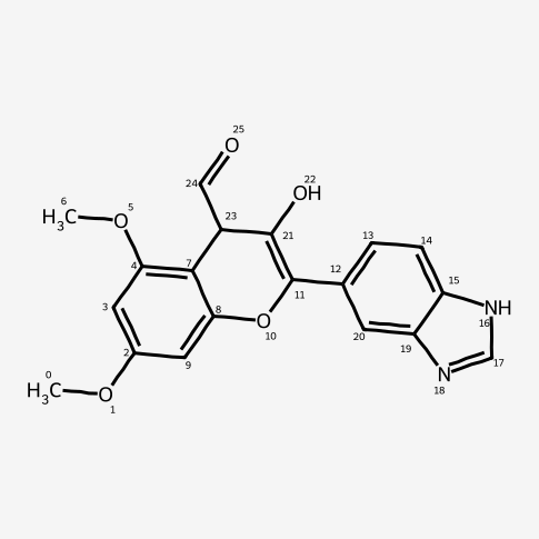 COc1cc(OC)c2c(c1)OC(c1ccc3[nH]cnc3c1)=C(O)C2C=O